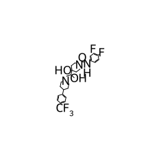 O=C(Nc1ccc(F)c(F)c1)N1CCC(O)(C(O)CN2CCC(c3ccc(C(F)(F)F)cc3)CC2)CC1